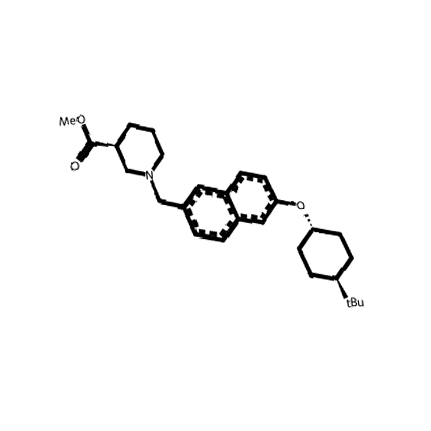 COC(=O)[C@H]1CCCN(Cc2ccc3cc(O[C@H]4CC[C@H](C(C)(C)C)CC4)ccc3c2)C1